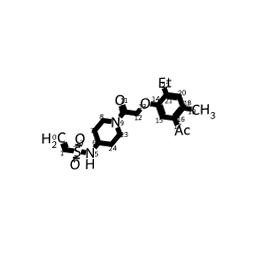 C=CS(=O)(=O)NC1CCN(C(=O)COc2cc(C(C)=O)c(C)cc2CC)CC1